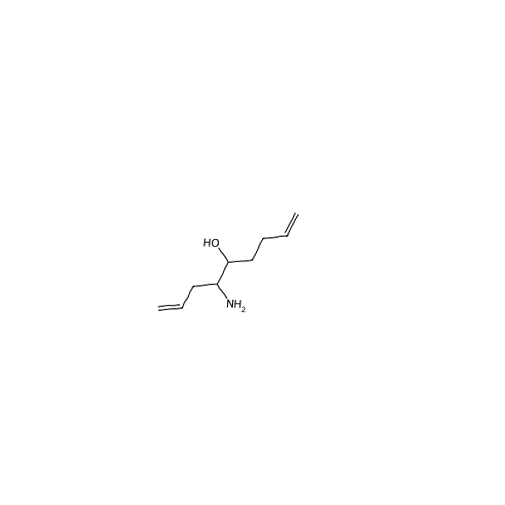 C=CCCC(O)C(N)CC=C